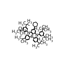 CC(C)c1cc(N2c3cc(C(C)C)ccc3B3c4ccc(C(C)C)cc4N(c4cc(C(C)(C)C)cc(C(C)(C)C)c4)c4cc(C5CCCCC5)cc2c43)cc(C(C)(C)C)c1